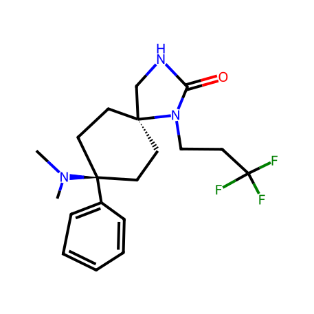 CN(C)[C@]1(c2ccccc2)CC[C@]2(CC1)CNC(=O)N2CCC(F)(F)F